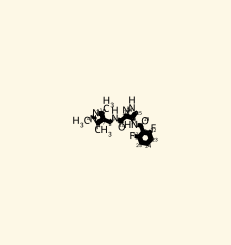 Cc1nn(C)c(C)c1CNC(=O)c1n[nH]cc1NC(=O)c1c(F)cccc1F